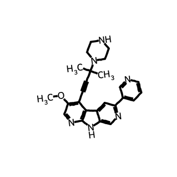 COc1cnc2[nH]c3cnc(-c4cccnc4)cc3c2c1C#CC(C)(C)N1CCNCC1